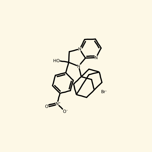 O=[N+]([O-])c1ccc(C2(O)C[n+]3cccnc3N2C23CC4CC(CC(C4)C2)C3)cc1.[Br-]